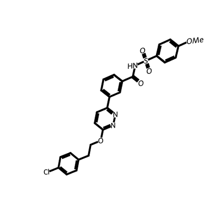 COc1ccc(S(=O)(=O)NC(=O)c2cccc(-c3ccc(OCCc4ccc(Cl)cc4)nn3)c2)cc1